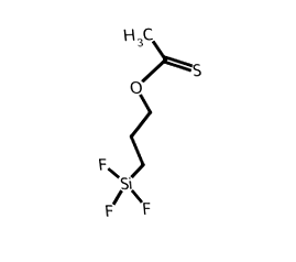 CC(=S)OCCC[Si](F)(F)F